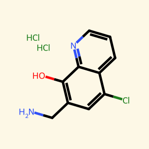 Cl.Cl.NCc1cc(Cl)c2cccnc2c1O